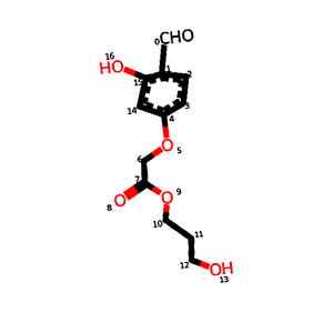 O=Cc1ccc(OCC(=O)OCCCO)cc1O